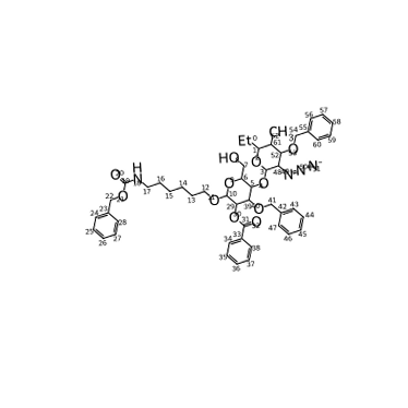 CCC1OC(OC2C(CO)OC(OCCCCCCNC(=O)OCc3ccccc3)C(OC(=O)c3ccccc3)C2OCc2ccccc2)C(N=[N+]=[N-])C(OCc2ccccc2)C1C